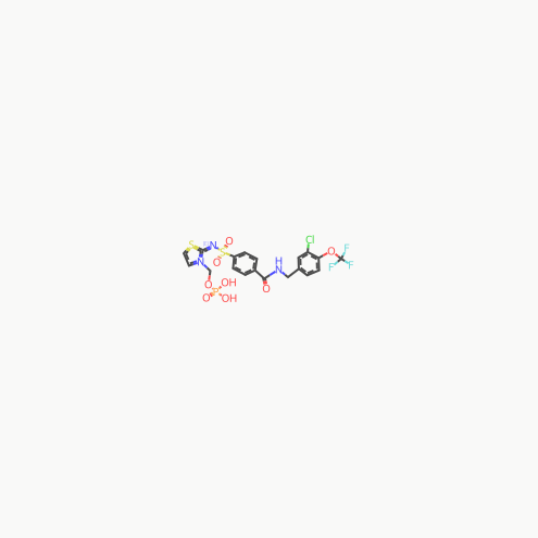 O=C(NCc1ccc(OC(F)(F)F)c(Cl)c1)c1ccc(S(=O)(=O)/N=c2/sccn2COP(=O)(O)O)cc1